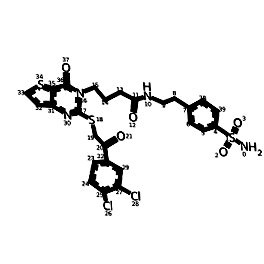 NS(=O)(=O)c1ccc(CCNC(=O)CCCn2c(SCC(=O)c3ccc(Cl)c(Cl)c3)nc3ccsc3c2=O)cc1